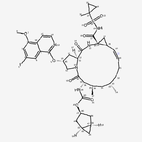 COc1cc(F)cc2c(O[C@@H]3C[C@H]4C(=O)N[C@]5(C(=O)NS(=O)(=O)C6(C)CC6)CC5/C=C\CC[C@H](C)C[C@@H](C)[C@H](NC(=O)O[C@@H]5C[C@@H]6C[C@@H]6C5)C(=O)N4C3)nccc12